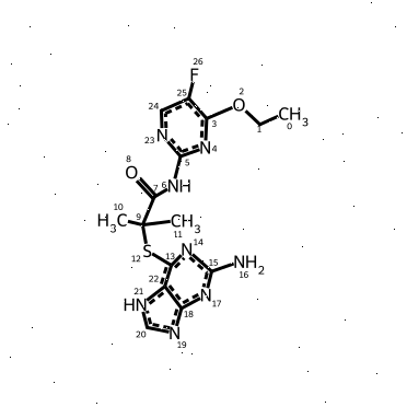 CCOc1nc(NC(=O)C(C)(C)Sc2nc(N)nc3nc[nH]c23)ncc1F